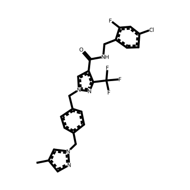 Cc1cnn(Cc2ccc(Cn3cc(C(=O)NCc4ccc(Cl)cc4F)c(C(F)(F)F)n3)cc2)c1